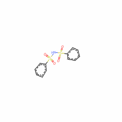 O=S(=O)(NS(=O)(=O)c1[c]cc[c]c1)c1[c]cc[c]c1